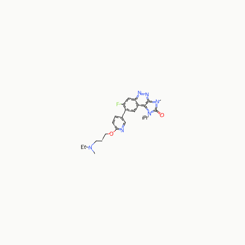 CCN(C)CCCOc1ccc(-c2cc3c(cc2F)nnc2c3n(C(C)C)c(=O)n2C)cn1